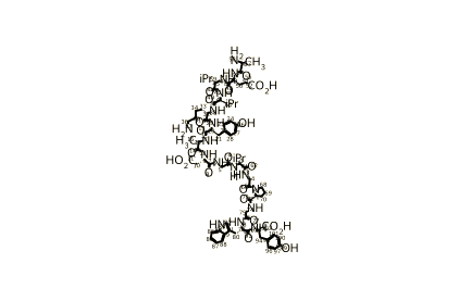 CC(C)[C@H](NC(=O)CNC(=O)[C@H](CC(=O)O)NC(=O)[C@H](C)NC(=O)[C@H](Cc1ccc(O)cc1)NC(=O)[C@H](CCCCN)NC(=O)[C@@H](NC(=O)[C@@H](NC(=O)[C@H](CCC(=O)O)NC(=O)[C@H](C)N)C(C)C)C(C)C)C(=O)NCC(=O)N1CCC[C@H]1C(=O)NCC(=O)N[C@@H](Cc1c[nH]c2ccccc12)C(=O)N[C@@H](Cc1ccc(O)cc1)C(=O)O